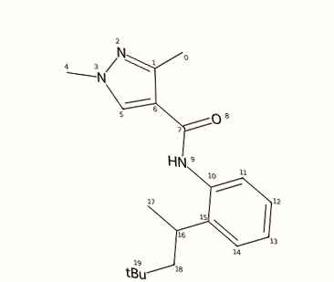 Cc1nn(C)cc1C(=O)Nc1ccccc1C(C)CC(C)(C)C